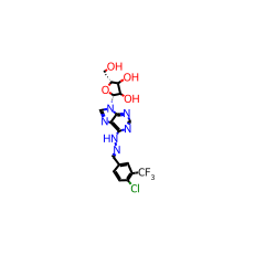 OC[C@H]1O[C@@H](n2cnc3c(N/N=C/c4ccc(Cl)c(C(F)(F)F)c4)ncnc32)C(O)C1O